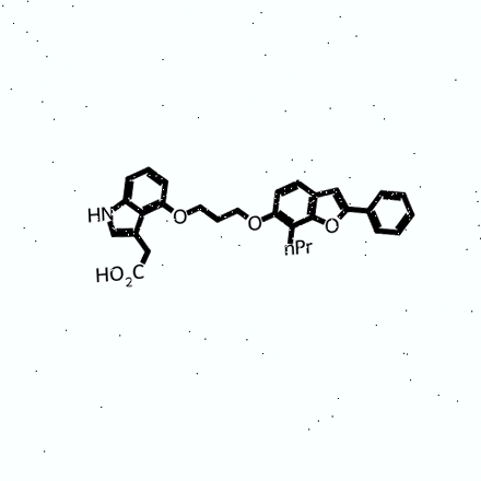 CCCc1c(OCCCOc2cccc3[nH]cc(CC(=O)O)c23)ccc2cc(-c3ccccc3)oc12